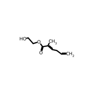 C=CC/C=C(\C)C(=O)OCCO